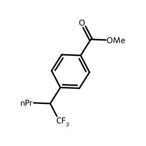 CCCC(c1ccc(C(=O)OC)cc1)C(F)(F)F